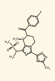 Cc1nsc(-c2nc(N(C)S(C)(=O)=O)c3n2CCN(C(=O)c2ccc(F)cc2)[C@@H]3C)n1